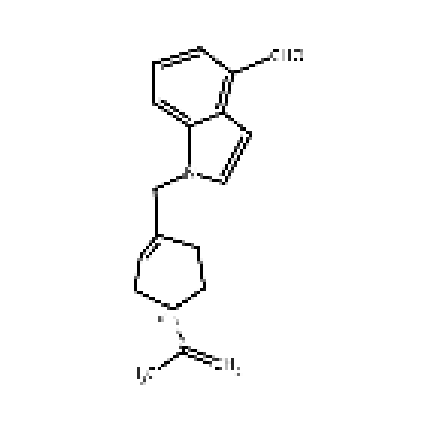 C=C(C)[C@@H]1CC=C(Cn2ccc3c(C=O)cccc32)CC1